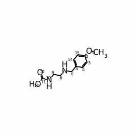 COc1ccc(CNCCNC(=O)O)cc1